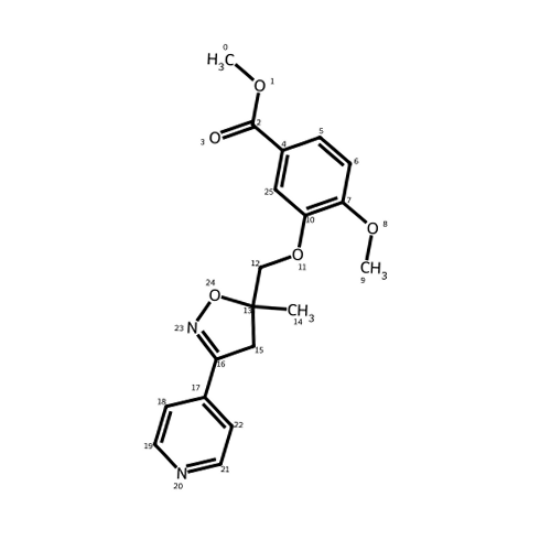 COC(=O)c1ccc(OC)c(OCC2(C)CC(c3ccncc3)=NO2)c1